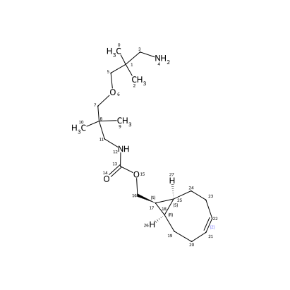 CC(C)(CN)COCC(C)(C)CNC(=O)OC[C@@H]1[C@@H]2CC/C=C\CC[C@@H]21